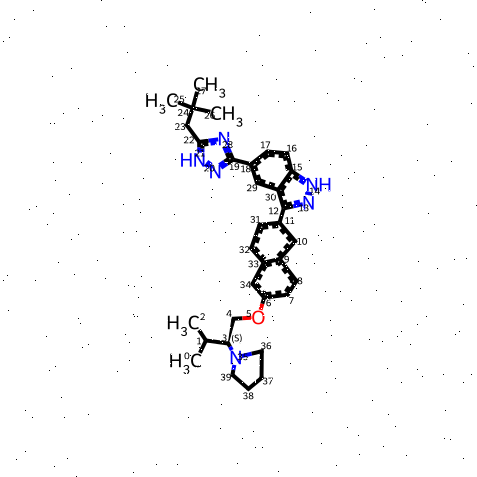 CC(C)[C@@H](COc1ccc2cc(-c3n[nH]c4ccc(-c5n[nH]c(CC(C)(C)C)n5)cc34)ccc2c1)N1CCCC1